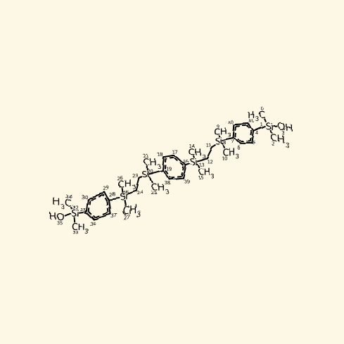 C[Si](C)(O)c1ccc([Si](C)(C)CC[Si](C)(C)c2ccc([Si](C)(C)CC[Si](C)(C)c3ccc([Si](C)(C)O)cc3)cc2)cc1